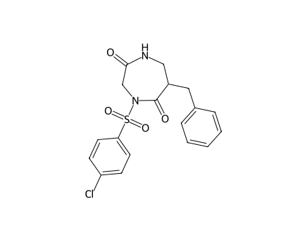 O=C1CN(S(=O)(=O)c2ccc(Cl)cc2)C(=O)C(Cc2ccccc2)CN1